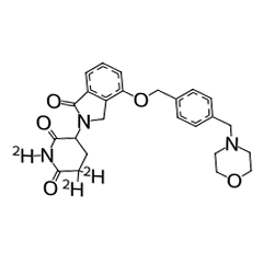 [2H]N1C(=O)C(N2Cc3c(OCc4ccc(CN5CCOCC5)cc4)cccc3C2=O)CC([2H])([2H])C1=O